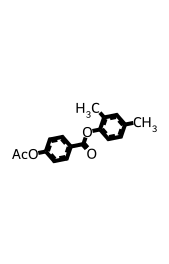 CC(=O)Oc1ccc(C(=O)Oc2ccc(C)cc2C)cc1